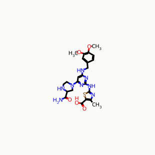 COc1ccc(CNc2cc(N3CCNC(C(N)=O)C3)nc(Nc3nc(C)c(C(=O)O)s3)n2)cc1OC